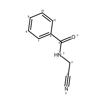 N#CCNC(=O)c1cc[c]cc1